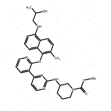 Cc1ccc2c(NCC(C)O)cccc2c1Oc1ncccc1-c1ccnc(NC2CCCN(C(=O)OC(C)(C)C)C2)n1